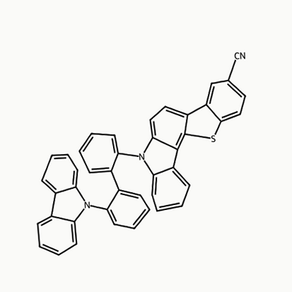 N#Cc1ccc2sc3c(ccc4c3c3ccccc3n4-c3ccccc3-c3ccccc3-n3c4ccccc4c4ccccc43)c2c1